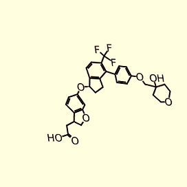 O=C(O)CC1COc2cc(O[C@@H]3CCc4c3ccc(C(F)(F)F)c4-c3ccc(OCC4(O)CCOCC4)cc3)ccc21